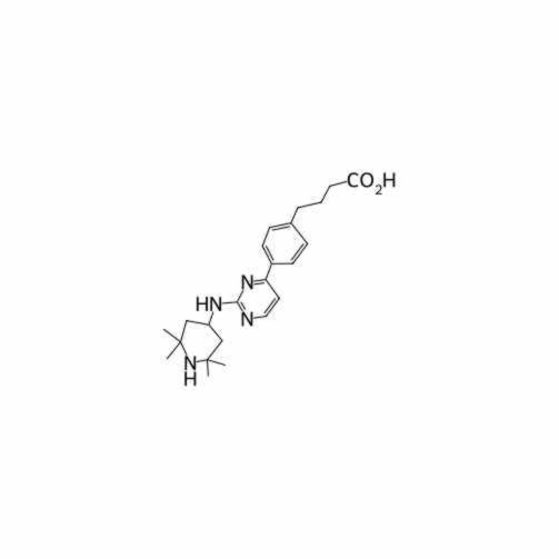 CC1(C)CC(Nc2nccc(-c3ccc(CCCC(=O)O)cc3)n2)CC(C)(C)N1